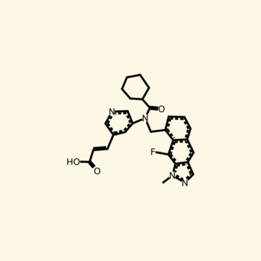 Cn1ncc2cc3cccc(CN(C(=O)C4CCCCC4)c4cncc(C=CC(=O)O)c4)c3c(F)c21